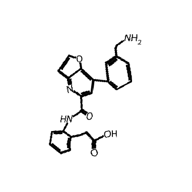 NCc1cccc(-c2cc(C(=O)Nc3ccccc3CC(=O)O)nc3ccoc23)c1